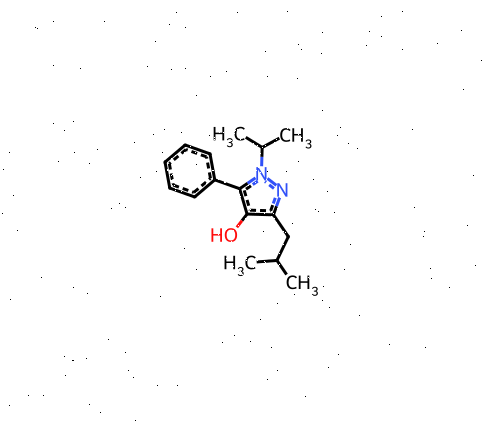 CC(C)Cc1nn(C(C)C)c(-c2ccccc2)c1O